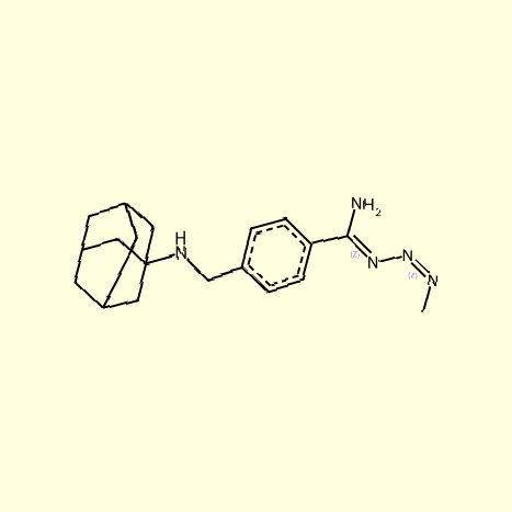 C/N=N\N=C(/N)c1ccc(CNC23CC4CC(CC(C4)C2)C3)cc1